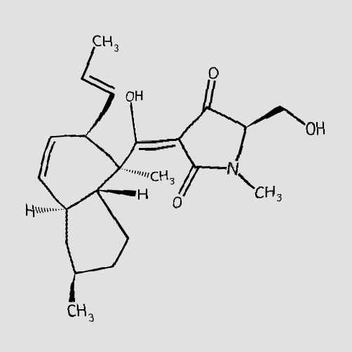 C/C=C/[C@@H]1C=C[C@@H]2C[C@H](C)CC[C@H]2[C@]1(C)/C(O)=C1/C(=O)[C@@H](CO)N(C)C1=O